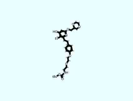 CCc1c(O)cc(OCC2COCCO2)nc1CCc1ccc(OCCOCCNC(=O)OC(C)(C)C)cc1